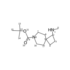 CNC1CCC12CCN(C(=O)OC(C)(C)C)CC2